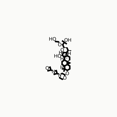 C[C@@H]1C[C@H]([C@H](OCCO)C(C)(C)O)O[C@H]2[C@H]1[C@@]1(C)CC[C@@]34CC35CC[C@H](O[C@H]3CN(C6CN(C7COC7)C6)CCO3)C(C)(C)[C@@H]5CC[C@H]4[C@]1(C)[C@H]2O